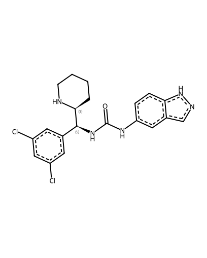 O=C(Nc1ccc2[nH]ncc2c1)N[C@@H](c1cc(Cl)cc(Cl)c1)[C@@H]1CCCCN1